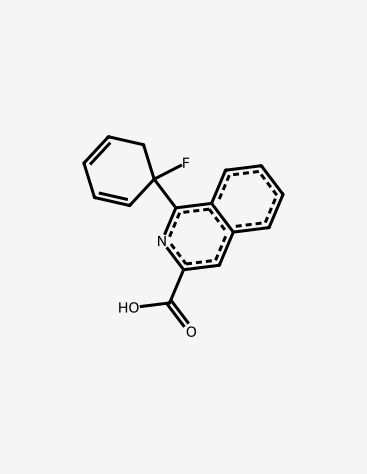 O=C(O)c1cc2ccccc2c(C2(F)C=CC=CC2)n1